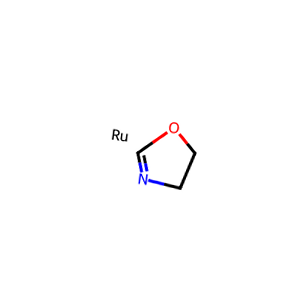 C1=NCCO1.[Ru]